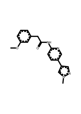 COc1cccc(CC(=O)Nc2ccc(-c3cnn(C)c3)cn2)c1